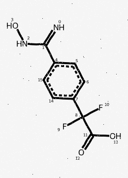 N=C(NO)c1ccc(C(F)(F)C(=O)O)cc1